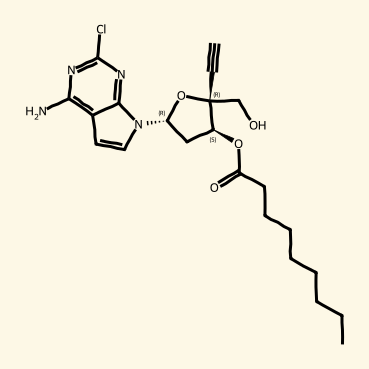 C#C[C@]1(CO)O[C@@H](n2ccc3c(N)nc(Cl)nc32)C[C@@H]1OC(=O)CCCCCCCC